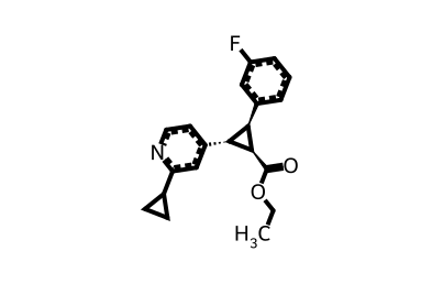 CCOC(=O)[C@@H]1[C@H](c2cccc(F)c2)[C@H]1c1ccnc(C2CC2)c1